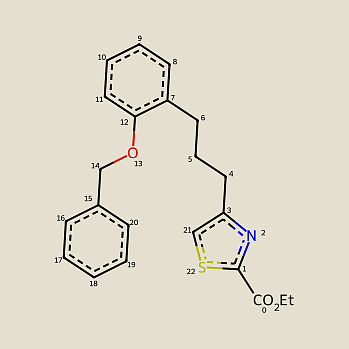 CCOC(=O)c1nc(CCCc2ccccc2OCc2ccccc2)cs1